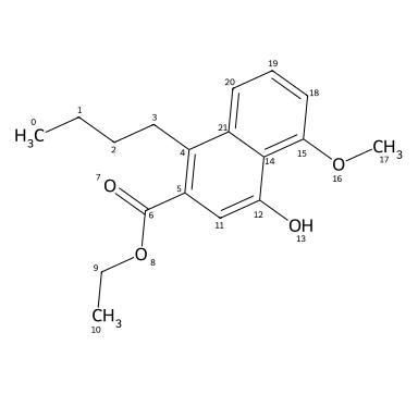 CCCCc1c(C(=O)OCC)cc(O)c2c(OC)cccc12